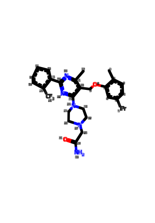 Cc1ccc(C(C)C)cc1OCc1c(C)nc(-c2ccccc2C(F)(F)F)nc1N1CCN(CC(N)=O)CC1